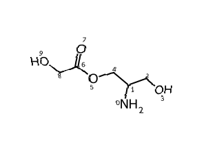 NC(CO)COC(=O)CO